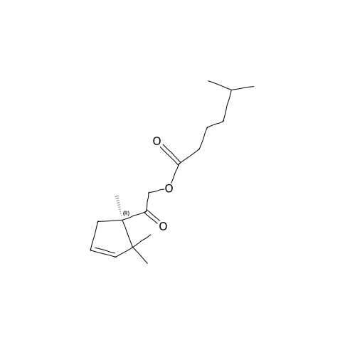 CC(C)CCCC(=O)OCC(=O)[C@]1(C)CC=CC1(C)C